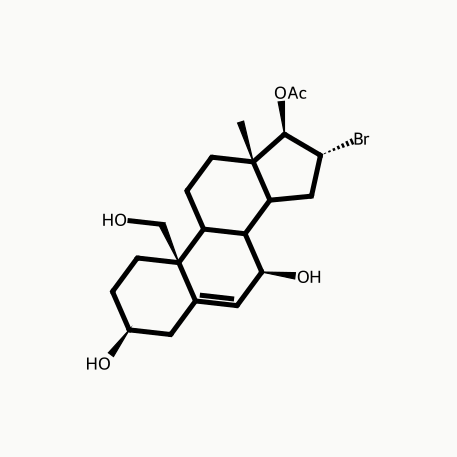 CC(=O)O[C@H]1[C@H](Br)CC2C3C(CC[C@@]21C)[C@@]1(CO)CC[C@H](O)CC1=C[C@@H]3O